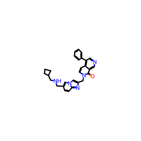 O=c1c2cncc(-c3ccccc3)c2ccn1Cc1cn2cc(CNCC3CCC3)ccc2n1